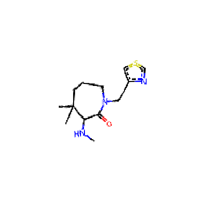 CNC1C(=O)N(Cc2cscn2)CCCC1(C)C